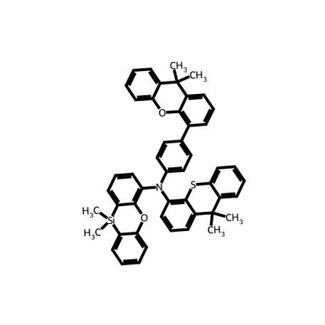 CC1(C)c2ccccc2Oc2c(-c3ccc(N(c4cccc5c4Oc4ccccc4[Si]5(C)C)c4cccc5c4Sc4ccccc4C5(C)C)cc3)cccc21